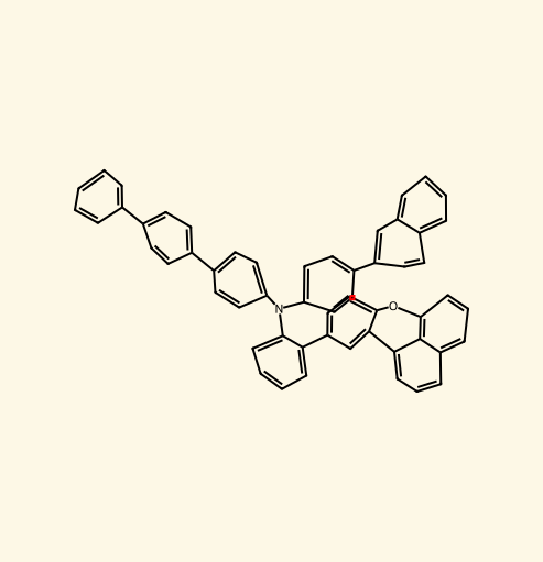 c1ccc(-c2ccc(-c3ccc(N(c4ccc(-c5ccc6ccccc6c5)cc4)c4ccccc4-c4ccc5c(c4)-c4cccc6cccc(c46)O5)cc3)cc2)cc1